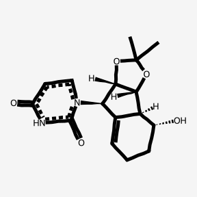 CC1(C)O[C@@H]2[C@H](O1)[C@@H]1C(=CCC[C@H]1O)[C@H]2n1ccc(=O)[nH]c1=O